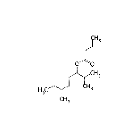 CCCC(=O)OC(CCC(C)CC)C(C)C